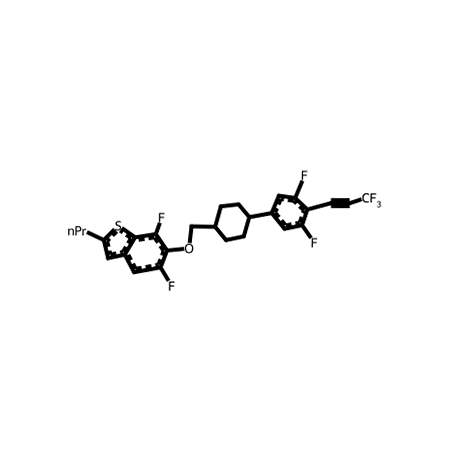 CCCc1cc2cc(F)c(OCC3CCC(c4cc(F)c(C#CC(F)(F)F)c(F)c4)CC3)c(F)c2s1